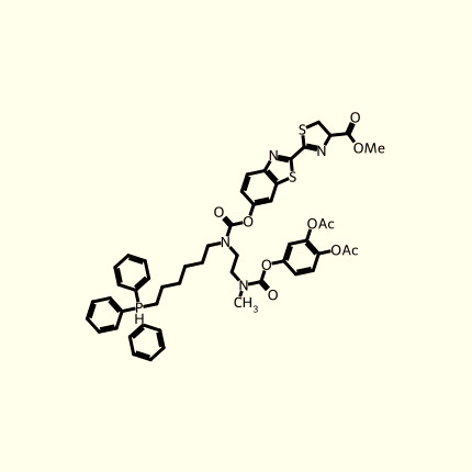 COC(=O)C1CSC(c2nc3ccc(OC(=O)N(CCCCCC[PH](c4ccccc4)(c4ccccc4)c4ccccc4)CCN(C)C(=O)Oc4ccc(OC(C)=O)c(OC(C)=O)c4)cc3s2)=N1